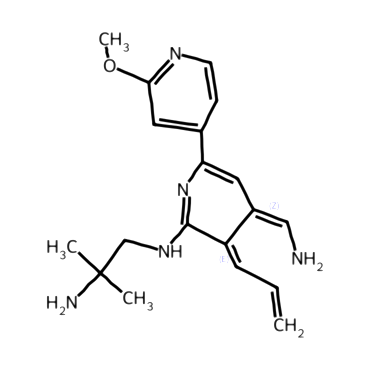 C=C/C=c1/c(NCC(C)(C)N)nc(-c2ccnc(OC)c2)c/c1=C/N